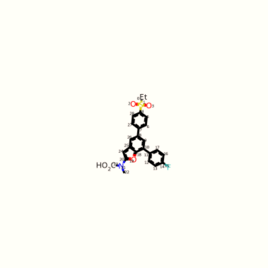 CCS(=O)(=O)c1ccc(-c2cc(-c3ccc(F)cc3)c3oc(N(C)C(=O)O)cc3c2)cc1